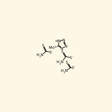 NC(=S)[S-].NC(=S)[S-].NC(=S)[S-].[Mo+3][c]1nnn[nH]1